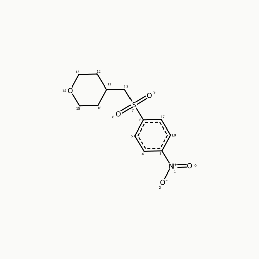 O=[N+]([O-])c1ccc(S(=O)(=O)CC2CCOCC2)cc1